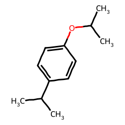 C[C](C)Oc1ccc(C(C)C)cc1